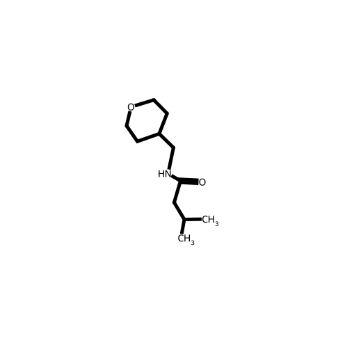 CC(C)CC(=O)NCC1CCOCC1